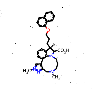 CCC1(CCCOc2cccc3ccccc23)c2cccc3c2N(CCCN(C)Cc2nn(C)cc2-3)C1C(=O)O